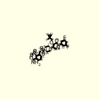 CC1(COc2c(N3CCN(S(=O)(=O)Cc4cccc(C(N)=O)c4[N+](=O)[O-])CC3)cnn(-c3cc(F)cc(F)c3)c2=O)CC1